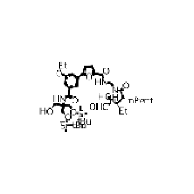 CCCCC[C@@H](C(=O)NCNC(=O)c1ccc(-c2cc(OCC)cc(C(=O)NC(CO)(CO[Si](C)(C)C(C)(C)C)CO[Si](C)(C)C(C)(C)C)c2)o1)[C@@H](CC)N(O)C=O